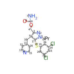 CC(C)n1nc(COC(N)=O)c(Cc2ccncc2)c1Sc1cc(Cl)cc(Cl)c1